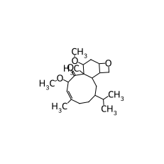 COC1C=C(C)CCC(C(C)C)CC2C3COC3CC(OC)C2(C)C1=O